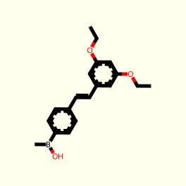 CCOc1cc(/C=C/c2ccc(B(C)O)cc2)cc(OCC)c1